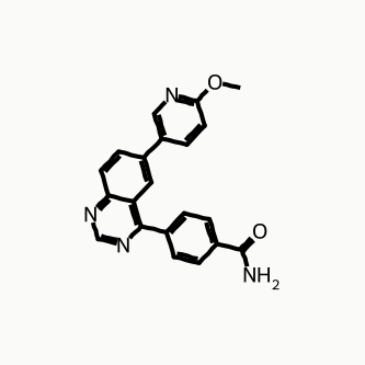 COc1ccc(-c2ccc3ncnc(-c4ccc(C(N)=O)cc4)c3c2)cn1